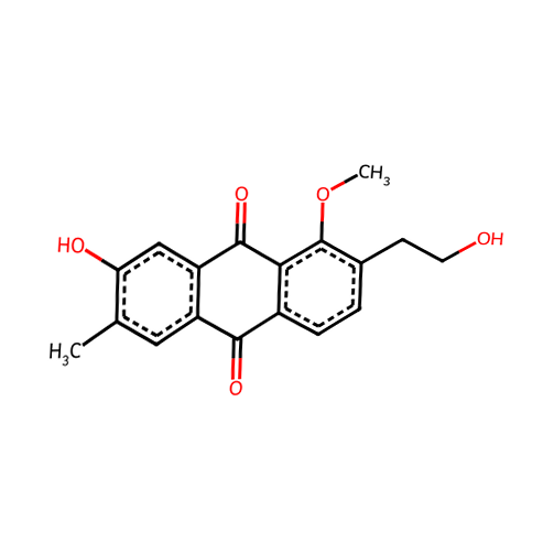 COc1c(CCO)ccc2c1C(=O)c1cc(O)c(C)cc1C2=O